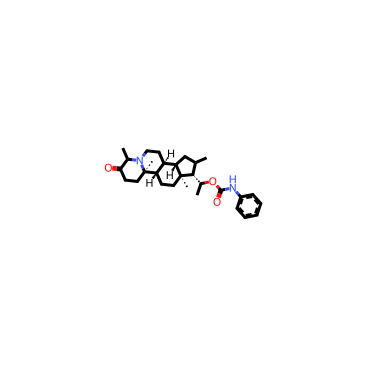 CC1C[C@H]2[C@@H]3CCN4C(C)C(=O)CC[C@]4(C)[C@H]3CC[C@]2(C)[C@H]1C(C)OC(=O)Nc1ccccc1